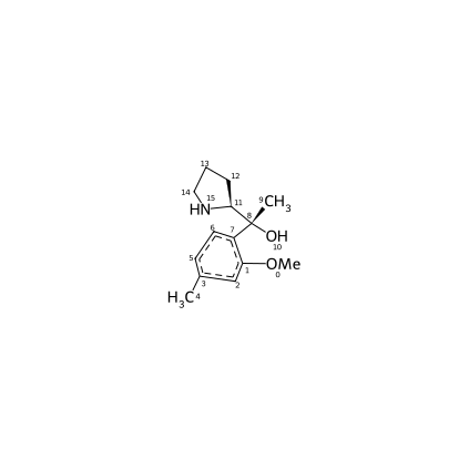 COc1cc(C)ccc1[C@@](C)(O)[C@@H]1CCCN1